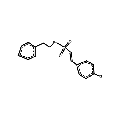 O=S(=O)(C=Cc1ccc(Cl)cc1)NCCc1cc[c]cc1